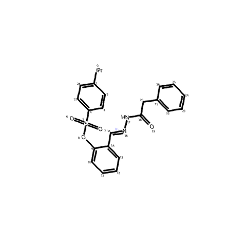 CC(C)c1ccc(S(=O)(=O)Oc2ccccc2/C=N/NC(=O)Cc2ccccc2)cc1